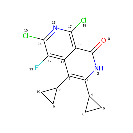 O=c1[nH]c(C2CC2)c(C2CC2)c2c(F)c(Cl)nc(Cl)c12